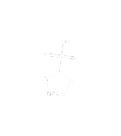 O=S(=O)(O)c1nnco1